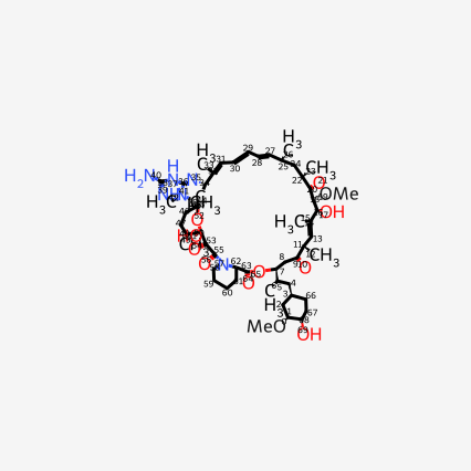 CO[C@@H]1C[C@@H](CC(C)[C@@H]2CC(=O)[C@H](C)/C=C(\C)[C@@H](O)[C@@H](OC)C(=O)[C@H](C)C[C@H](C)/C=C/C=C/C=C(/C)[C@@H](/N=C(/NC(=N)N)N(C)C)C[C@@H]3CC[C@@H](C)[C@@](O)(O3)C(=O)C(=O)N3CCCCC3C(=O)O2)CC[C@H]1O